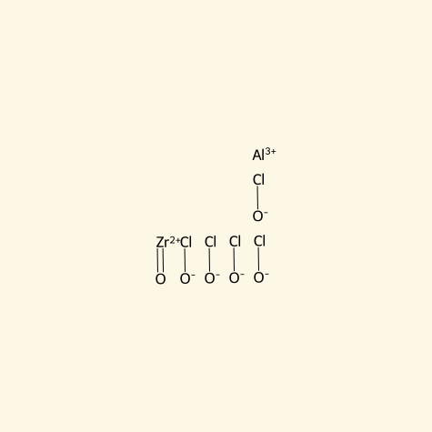 [Al+3].[O-]Cl.[O-]Cl.[O-]Cl.[O-]Cl.[O-]Cl.[O]=[Zr+2]